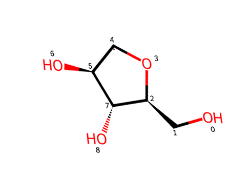 OC[C@@H]1O[CH][C@H](O)[C@H]1O